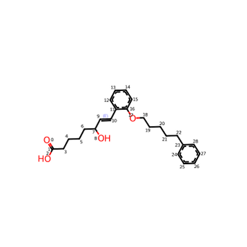 O=C(O)CCCCC(O)/C=C/c1ccccc1OCCCCCc1ccccc1